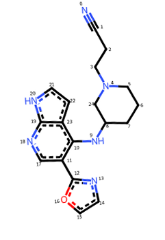 N#CCCN1CCCC(Nc2c(-c3ncco3)cnc3[nH]ccc23)C1